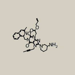 C=CCOC(=O)Cn1c(=O)n(Cc2nc(C)cc3ccccc23)c(=O)c2c1nc(N1CCCC(N)C1)n2CC#CC